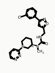 CN(C(=O)NCc1cc(-c2cccc(Cl)c2)no1)[C@@H]1CCCN(c2cccnn2)C1